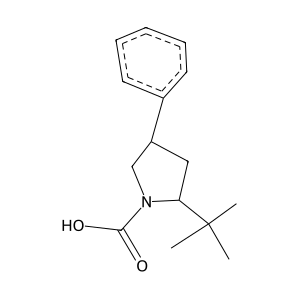 CC(C)(C)C1CC(c2ccccc2)CN1C(=O)O